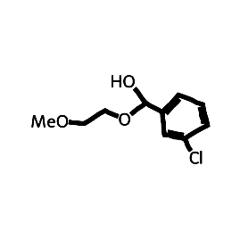 COCCOC(O)c1cccc(Cl)c1